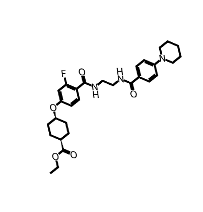 CCOC(=O)[C@H]1CC[C@@H](Oc2ccc(C(=O)NCCNC(=O)c3ccc(N4CCCCC4)cc3)c(F)c2)CC1